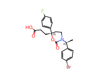 C[C@@H](c1ccc(Br)cc1)N1CC[C@@](CCC(=O)O)(c2ccc(F)cc2)OC1=O